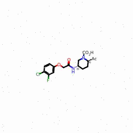 CC(=O)[C@H]1CC[C@H](NC(=O)COc2ccc(Cl)c(F)c2)CN1C(=O)O